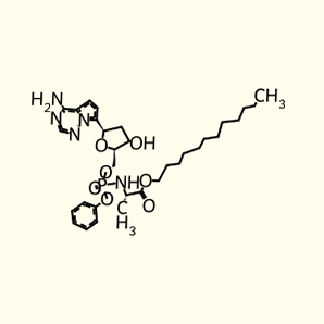 CCCCCCCCCCCCOC(=O)[C@H](C)NP(=O)(OC[C@H]1O[C@@H](c2ccc3c(N)ncnn23)C[C@@H]1O)Oc1ccccc1